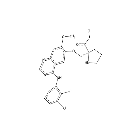 COc1cc2ncnc(Nc3cccc(Cl)c3F)c2cc1OC[C@]1(C(=O)CCl)CCCN1